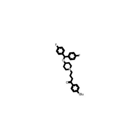 CC(C)(C)c1ccc(C(=O)CCCN2CCC(OC(c3ccc(F)cc3)c3ccc(F)cc3)CC2)cc1